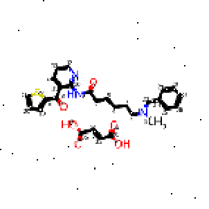 CN(CCCCCC(=O)Nc1ncccc1C(=O)c1cccs1)Cc1ccccc1.O=C(O)/C=C/C(=O)O